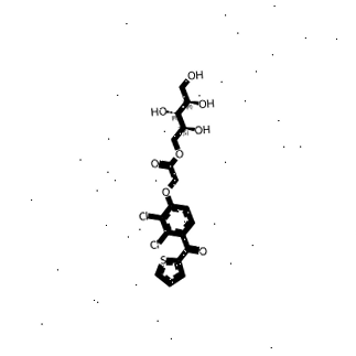 O=C(COc1ccc(C(=O)c2cccs2)c(Cl)c1Cl)OC[C@H](O)[C@H](O)[C@H](O)CO